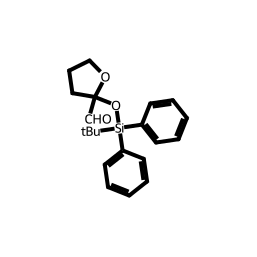 CC(C)(C)[Si](OC1(C=O)CCCO1)(c1ccccc1)c1ccccc1